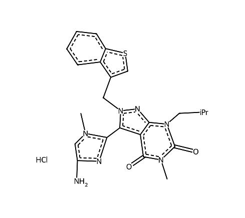 CC(C)Cn1c(=O)n(C)c(=O)c2c(-c3nc(N)cn3C)n(Cc3csc4ccccc34)nc21.Cl